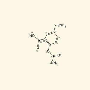 NCc1ccc(OC(N)=O)c(C(=O)O)c1